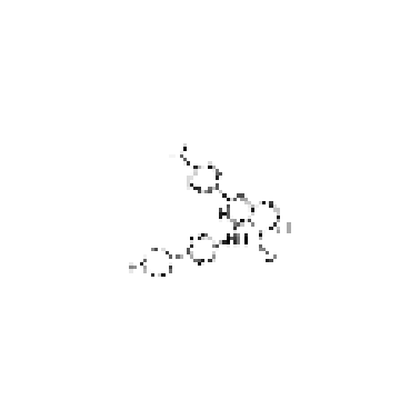 CNc1ccc(-c2cc3c(c(Nc4ccc(C5CCNCC5)cc4)n2)C(C=O)NC=C3)cn1